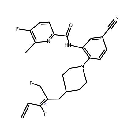 C=C/C(F)=C(\CF)CC1CCN(c2ccc(C#N)cc2NC(=O)c2ccc(F)c(C)n2)CC1